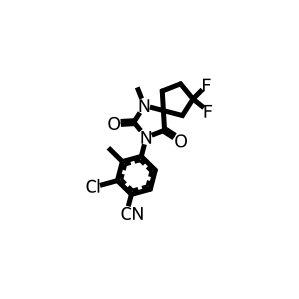 Cc1c(N2C(=O)N(C)C3(CCC(F)(F)C3)C2=O)ccc(C#N)c1Cl